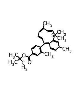 CC1=C/C=C/C(c2ccc(C(=O)OC(C)(C)C)cc2C)=C2/C=CC(C)C=C2[Si](C)(C)\C=C\1